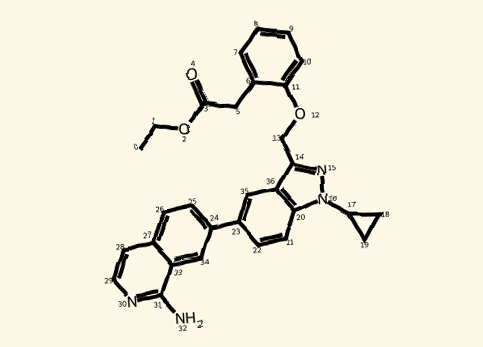 CCOC(=O)Cc1ccccc1OCc1nn(C2CC2)c2ccc(-c3ccc4ccnc(N)c4c3)cc12